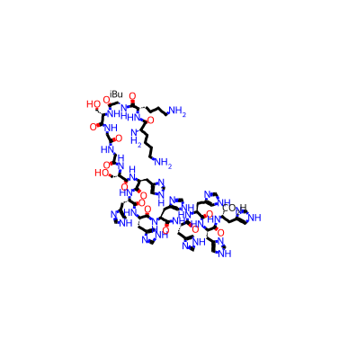 CC[C@H](C)[C@H](NC(=O)[C@H](CCCCN)NC(=O)[C@@H](N)CCCCN)C(=O)N[C@@H](CO)C(=O)NCC(=O)NCC(=O)N[C@@H](CO)C(=O)N[C@@H](Cc1c[nH]cn1)C(=O)N[C@@H](Cc1c[nH]cn1)C(=O)N[C@@H](Cc1c[nH]cn1)C(=O)N[C@@H](Cc1c[nH]cn1)C(=O)N[C@@H](Cc1c[nH]cn1)C(=O)N[C@@H](Cc1c[nH]cn1)C(=O)N[C@@H](Cc1c[nH]cn1)C(=O)N[C@@H](Cc1c[nH]cn1)C(=O)O